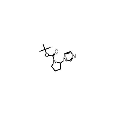 CC(C)(C)OC(=O)N1CCCC1n1ccnc1